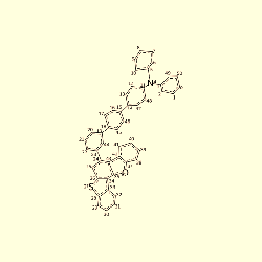 c1ccc(N(c2ccccc2)c2ccc(-c3ccc(-c4cccc(-c5cc6sc7ccccc7c6c6oc7ccccc7c56)c4)cc3)cc2)cc1